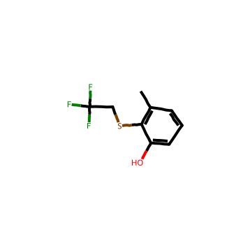 Cc1cccc(O)c1SCC(F)(F)F